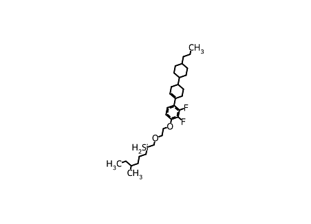 CCCC1CCC(C2CC=C(c3ccc(OCCOC[SiH2]CCCC(C)CC)c(F)c3F)CC2)CC1